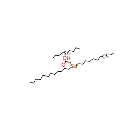 CCCCCCCCCCCC[SH](CCCCCCCCCCCC)CC(=O)O.CCC[CH2][Sn][CH2]CCC